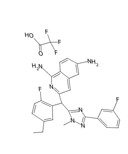 CCc1ccc(F)c(C(c2cc3cc(N)ccc3c(N)n2)c2nc(-c3cccc(F)c3)nn2C)c1.O=C(O)C(F)(F)F